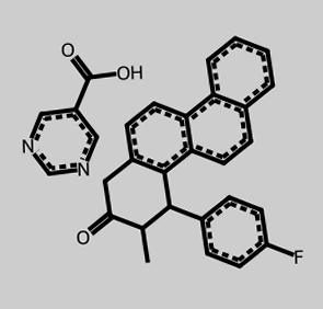 CC1C(=O)Cc2ccc3c(ccc4ccccc43)c2C1c1ccc(F)cc1.O=C(O)c1cncnc1